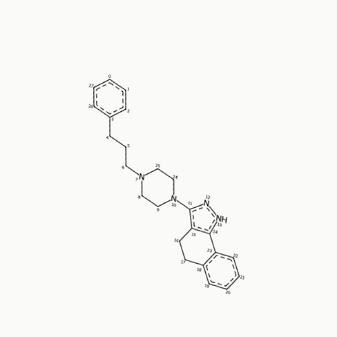 c1ccc(CCCN2CCN(c3n[nH]c4c3CCc3ccccc3-4)CC2)cc1